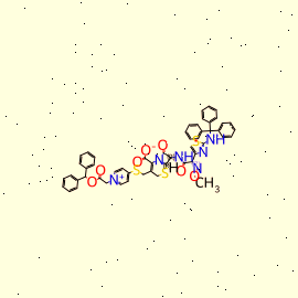 CO/N=C(\C(=O)N[C@@H]1C(=O)N2C(C(=O)[O-])=C(CSc3cc[n+](CC(=O)OC(c4ccccc4)c4ccccc4)cc3)CS[C@H]12)c1csc(NC(c2ccccc2)(c2ccccc2)c2ccccc2)n1